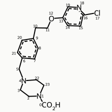 O=C(O)N1CCN(Cc2ccc(CCOc3ccc(Cl)nc3)cc2)CC1